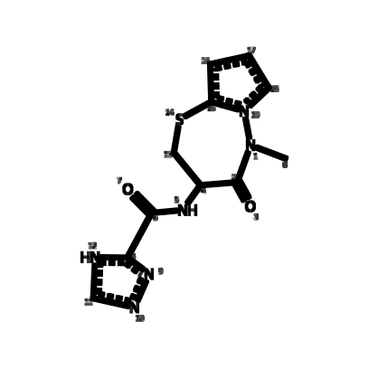 CN1C(=O)C(NC(=O)c2nnc[nH]2)CSc2cccn21